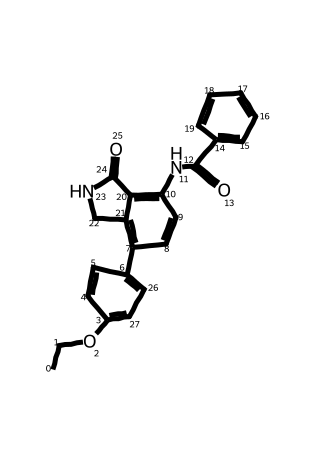 CCOc1ccc(-c2ccc(NC(=O)c3ccccc3)c3c2CNC3=O)cc1